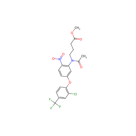 COC(=O)CCCN(C(C)=O)c1cc(Oc2ccc(C(F)(F)F)cc2Cl)ccc1[N+](=O)[O-]